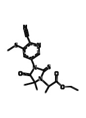 CCOC(=O)C(C)N1C(=S)N(c2cnc(C#N)c(SC)c2)C(=O)C1(C)C